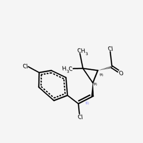 CC1(C)[C@H](/C=C(/Cl)c2ccc(Cl)cc2)[C@H]1C(=O)Cl